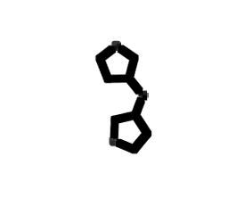 C1CC([N]C2CCOC2)CO1